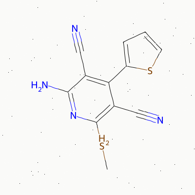 C[SH2]c1nc(N)c(C#N)c(-c2cccs2)c1C#N